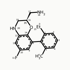 CCc1cccc(C)c1-c1cc(F)cc2c1O[C@H](CN)CN2